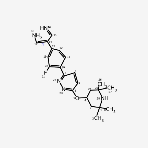 CC1(C)CC(Oc2ccc(-c3ccc(/C(C=N)=C/N)cc3F)nn2)CC(C)(C)N1